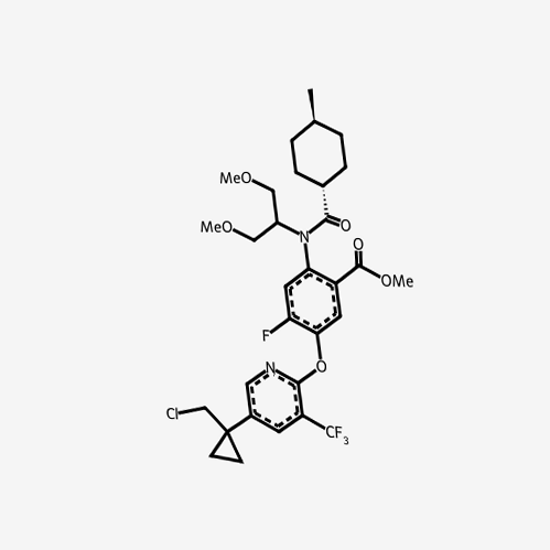 COCC(COC)N(c1cc(F)c(Oc2ncc(C3(CCl)CC3)cc2C(F)(F)F)cc1C(=O)OC)C(=O)[C@H]1CC[C@H](C)CC1